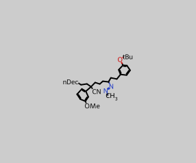 CCCCCCCCCCCCC(C#N)(CCCC(CCc1cccc(OC(C)(C)C)c1)N=NC)c1cccc(OC)c1